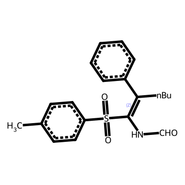 CCCC/C(=C(\NC=O)S(=O)(=O)c1ccc(C)cc1)c1ccccc1